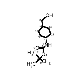 CC(C)(C)OC(=O)N[C@H]1CC[C@@H](CO)CC1